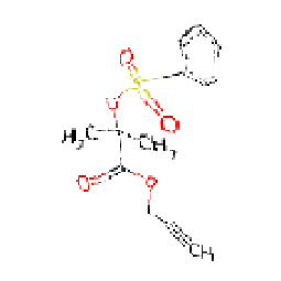 C#CCOC(=O)C(C)(C)OS(=O)(=O)c1ccccc1